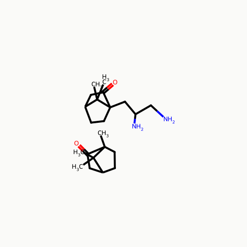 CC1(C)C2CCC1(CC(N)CN)C(=O)C2.CC12CCC(CC1=O)C2(C)C